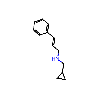 C(=Cc1ccccc1)CNCC1CC1